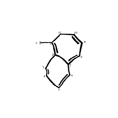 IC1=c2ccccc2=CC=CC1